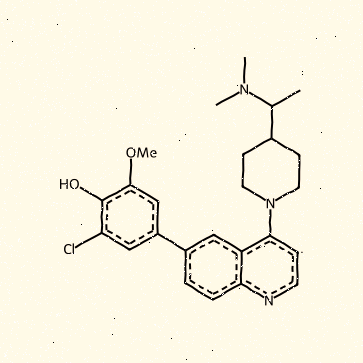 COc1cc(-c2ccc3nc[c]c(N4CCC(C(C)N(C)C)CC4)c3c2)cc(Cl)c1O